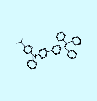 CC(C)c1ccc(N(c2ccccc2)c2ccc(-c3ccc(C(=C(c4ccccc4)c4ccccc4)c4ccccc4)cc3)cc2)cc1